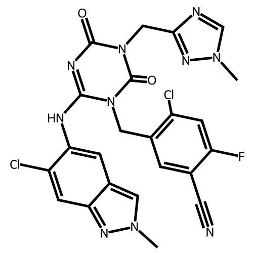 Cn1cnc(Cn2c(=O)nc(Nc3cc4cn(C)nc4cc3Cl)n(Cc3cc(C#N)c(F)cc3Cl)c2=O)n1